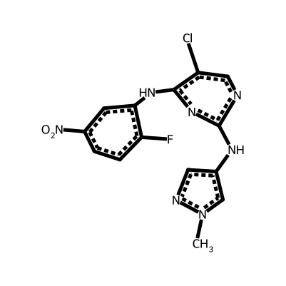 Cn1cc(Nc2ncc(Cl)c(Nc3cc([N+](=O)[O-])ccc3F)n2)cn1